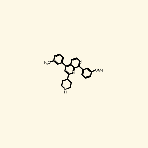 COc1cccc(-c2nccc3c(-c4cccc(C(F)(F)F)c4)cc(C4CCNCC4)nc23)c1